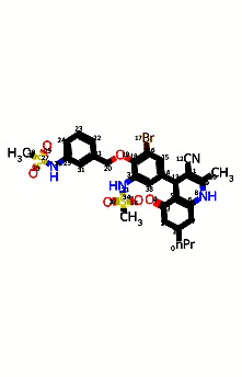 CCCC1CC(=O)C2=C(C1)NC(C)=C(C#N)C2c1cc(Br)c(OCc2cccc(NS(C)(=O)=O)c2)c(NS(C)(=O)=O)c1